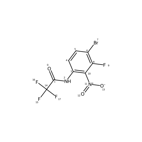 O=C(Nc1ccc(Br)c(F)c1[N+](=O)[O-])C(F)(F)F